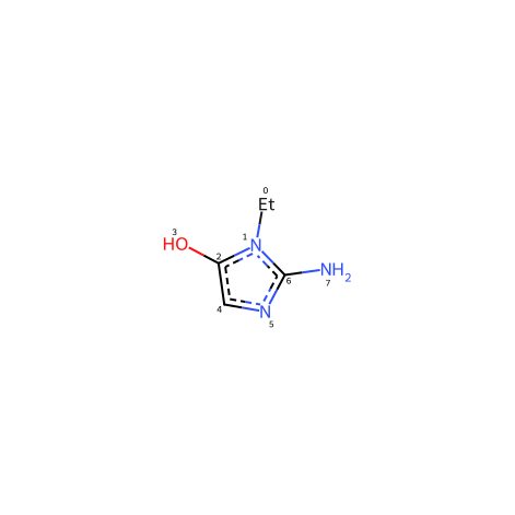 CCn1c(O)cnc1N